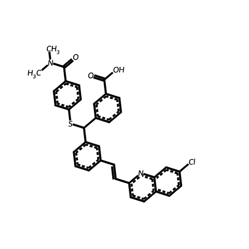 CN(C)C(=O)c1ccc(SC(c2cccc(C=Cc3ccc4ccc(Cl)cc4n3)c2)c2cccc(C(=O)O)c2)cc1